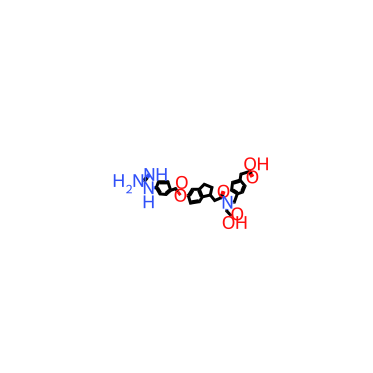 N=C(N)Nc1ccc(C(=O)Oc2ccc3c(c2)CCC3CC(=O)N(CC(=O)O)Cc2ccc(CC(=O)O)cc2)cc1